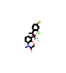 CC(c1ccc(Br)cc1Cl)C(O)(c1cccc2c1OCC(=O)N2C)C(F)(F)F